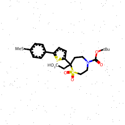 CSc1ccc(-c2ccc(C3(CC(=O)O)CCN(C(=O)OC(C)(C)C)CCS3(=O)=O)s2)cc1